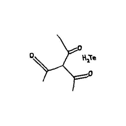 CC(=O)C(C(C)=O)C(C)=O.[TeH2]